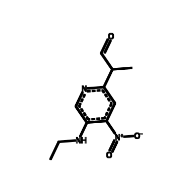 CCNc1cnc(C(C)C=O)cc1[N+](=O)[O-]